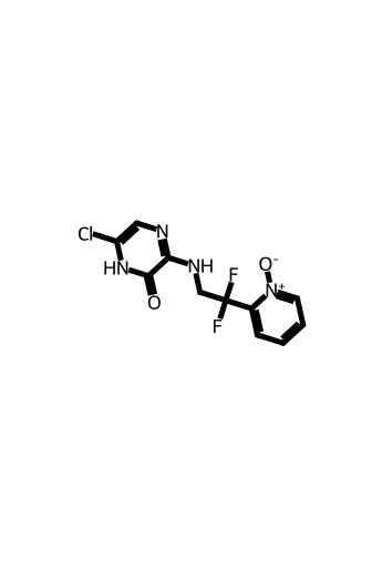 O=c1[nH]c(Cl)cnc1NCC(F)(F)c1cccc[n+]1[O-]